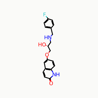 O=c1ccc2cc(OC[C@H](O)CNCc3ccc(F)cc3)ccc2[nH]1